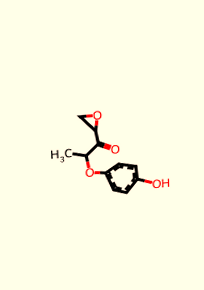 CC(Oc1ccc(O)cc1)C(=O)C1CO1